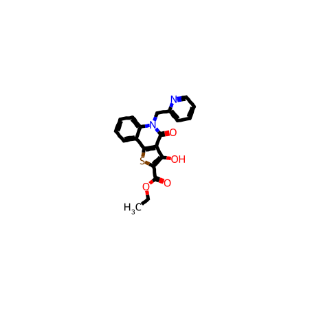 CCOC(=O)c1sc2c(c1O)c(=O)n(Cc1ccccn1)c1ccccc21